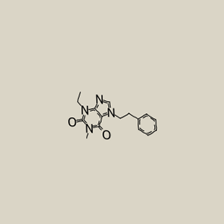 CCn1c(=O)n(C)c(=O)c2c1ncn2CCc1ccccc1